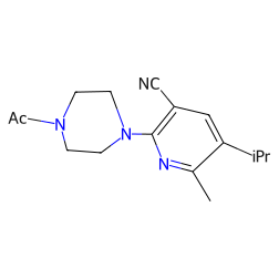 CC(=O)N1CCN(c2nc(C)c(C(C)C)cc2C#N)CC1